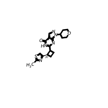 Cc1nc([C@@H]2CCC2c2nc3c(cnn3C3CCOCC3)c(=O)[nH]2)cs1